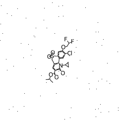 CC(C)OC(=O)c1cc2c(n(C3CC3)c1=O)-c1cc(Cl)c(OCC(F)F)cc1S(=O)(=O)C2